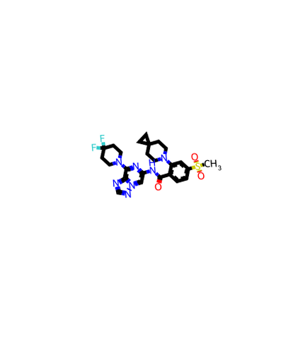 CS(=O)(=O)c1ccc(C(=O)Nc2cn3ncnc3c(N3CCC(F)(F)CC3)n2)c(N2CCC3(CC2)CC3)c1